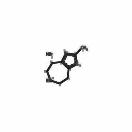 Br.Cc1nc2c(s1)CCNCC2